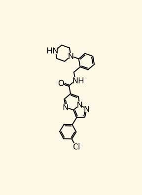 O=C(NCc1ccccc1N1CCNCC1)c1cnc2c(-c3cccc(Cl)c3)cnn2c1